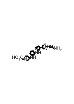 NCCCNc1ncc(-c2ccnc(Nc3cccc(NC4CCN(CC(=O)O)CC4)c3)c2)cn1